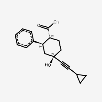 O=C(O)[C@@H]1CC[C@](O)(C#CC2CC2)C[C@H]1c1ccccc1